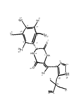 [2H]C(=C1NC(=O)[C@@H](c2c([2H])c([2H])c([2H])c([2H])c2[2H])NC1=O)c1nc[nH]c1C(C)(C)C=C